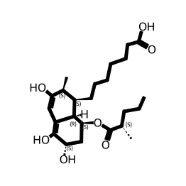 CCC[C@H](C)C(=O)O[C@H]1C[C@H](O)C(O)=C2C=C(O)[C@@H](C)[C@@H](CCCCCCC(=O)O)[C@H]21